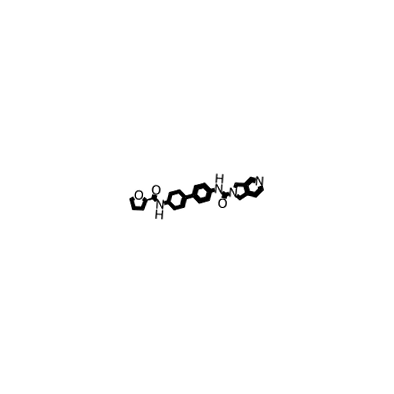 O=C(NC1CC=C(c2ccc(NC(=O)N3Cc4ccncc4C3)cc2)CC1)[C@H]1CCCO1